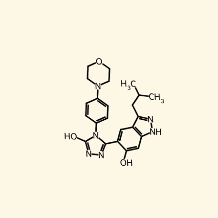 CC(C)Cc1n[nH]c2cc(O)c(-c3nnc(O)n3-c3ccc(N4CCOCC4)cc3)cc12